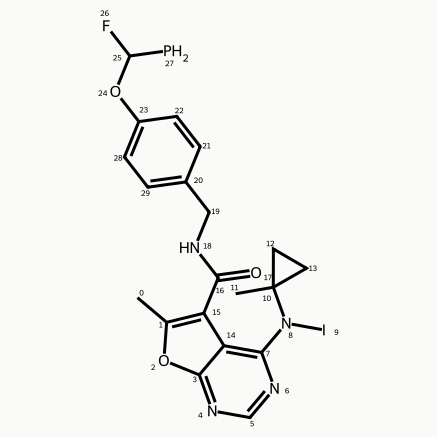 Cc1oc2ncnc(N(I)C3(C)CC3)c2c1C(=O)NCc1ccc(OC(F)P)cc1